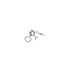 CC=CCc1nnn(C2CCCCC2)c1C(C)C